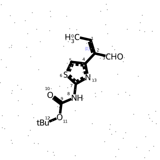 C/C=C(/C=O)c1csc(NC(=O)OC(C)(C)C)n1